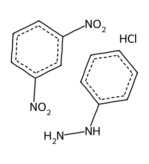 Cl.NNc1ccccc1.O=[N+]([O-])c1cccc([N+](=O)[O-])c1